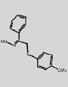 COc1ccc(SCC(=NO)c2ccccc2)cc1